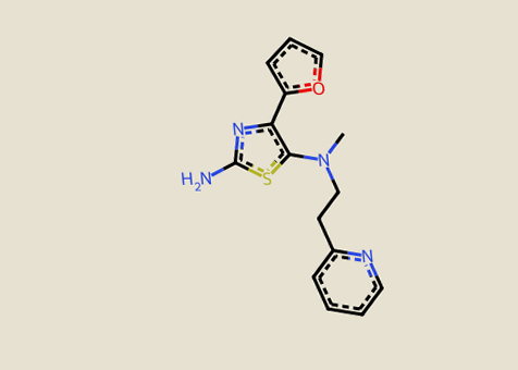 CN(CCc1ccccn1)c1sc(N)nc1-c1ccco1